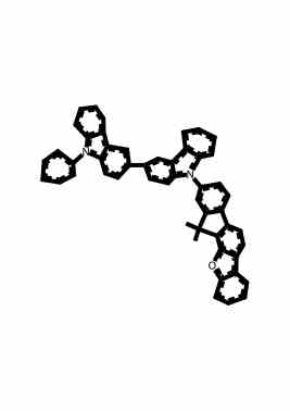 CC1(C)c2cc(-n3c4ccccc4c4cc(-c5ccc6c(c5)c5ccccc5n6-c5ccccc5)ccc43)ccc2-c2ccc3c(oc4ccccc43)c21